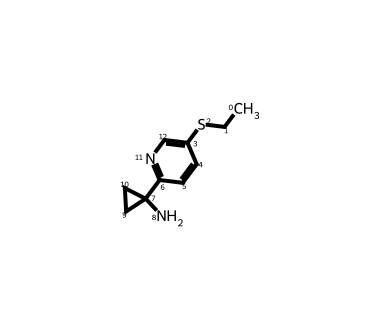 CCSc1ccc(C2(N)CC2)nc1